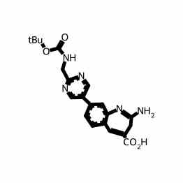 CC(C)(C)OC(=O)NCc1ncc(-c2ccc3c(c2)N=C(N)CC(C(=O)O)=C3)cn1